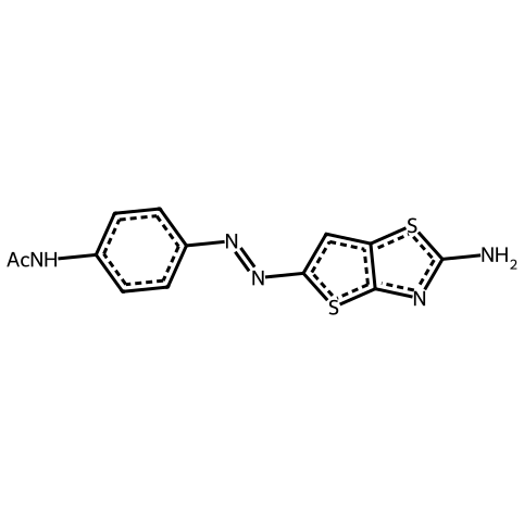 CC(=O)Nc1ccc(N=Nc2cc3sc(N)nc3s2)cc1